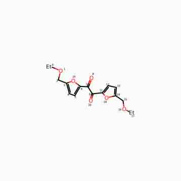 CCOCc1ccc(C(=O)C(=O)c2ccc(COCC)o2)o1